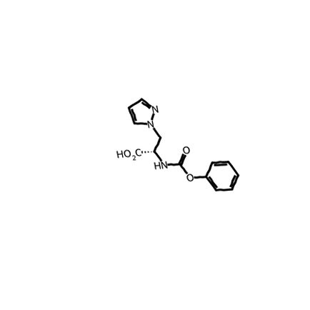 O=C(N[C@@H](Cn1cccn1)C(=O)O)Oc1ccccc1